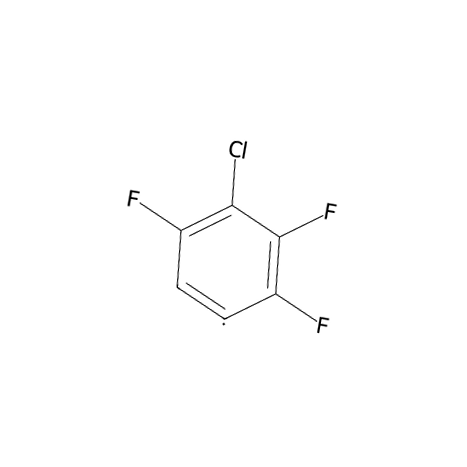 Fc1[c]cc(F)c(Cl)c1F